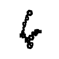 CC(C)(C)[Si](C)(C)Oc1ccc2c(c1)c(-c1cnn(CCCCOCCOCc3ccccc3)c1)nn2C1CCCCO1